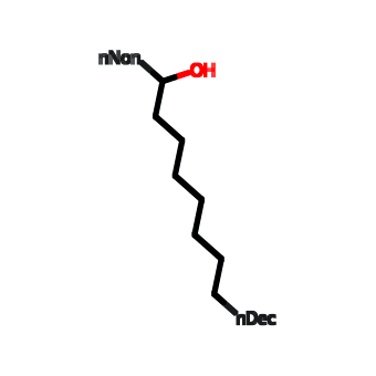 CCCCCCCCCCCCCCCCCC(O)CCCCCCCCC